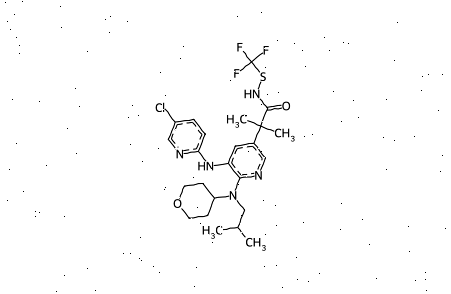 CC(C)CN(c1ncc(C(C)(C)C(=O)NSC(F)(F)F)cc1Nc1ccc(Cl)cn1)C1CCOCC1